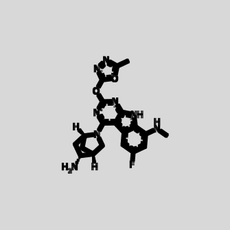 CNc1cc(F)cc2c1[nH]c1nc(Oc3nnc(C)o3)nc(N3C[C@H]4C[C@@H]3C[C@H]4N)c12